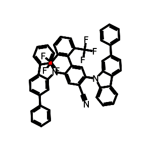 N#Cc1cc(-n2c3ccccc3c3ccc(-c4ccccc4)cc32)c(-c2c(C(F)(F)F)cccc2C(F)(F)F)cc1-n1c2ccccc2c2ccc(-c3ccccc3)cc21